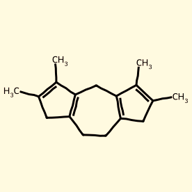 CC1=C(C)C2=C(CCC3=C(C2)C(C)=C(C)C3)C1